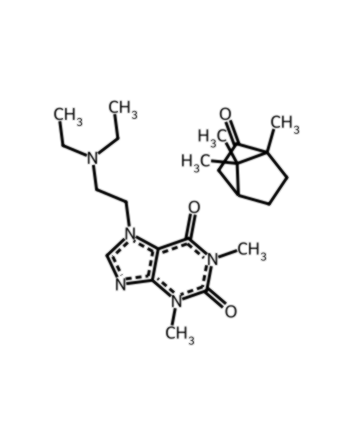 CC12CCC(CC1=O)C2(C)C.CCN(CC)CCn1cnc2c1c(=O)n(C)c(=O)n2C